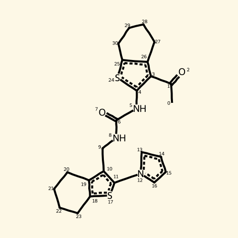 CC(=O)c1c(NC(=O)NCc2c(-n3cccc3)sc3c2CCCC3)sc2c1CCCC2